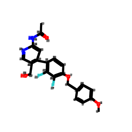 COc1ccc(COc2ccc(-c3cc(NC(C)=O)ncc3CO)c(F)c2F)cc1